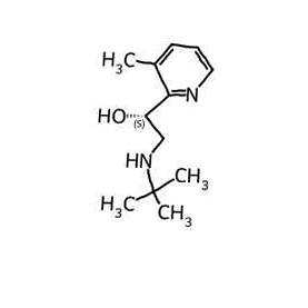 Cc1cccnc1[C@@H](O)CNC(C)(C)C